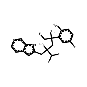 Cc1ccc(F)cc1C(C)(CF)CC(O)(Cc1cc2ccncc2[nH]1)C(F)F